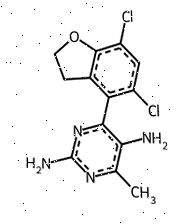 Cc1nc(N)nc(-c2c(Cl)cc(Cl)c3c2CCO3)c1N